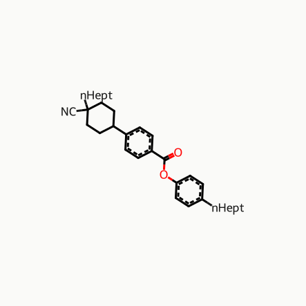 CCCCCCCc1ccc(OC(=O)c2ccc(C3CCC(C#N)(CCCCCCC)CC3)cc2)cc1